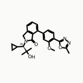 COc1cc(-c2cccc3c2C(=O)N([C@H](C2CC2)C(C)(C)O)C3)ccc1-c1nnc(C)o1